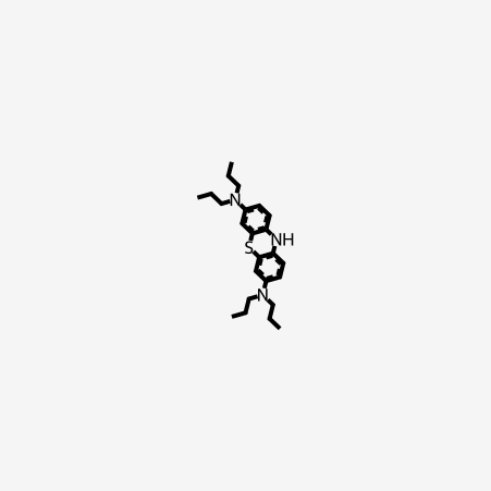 CCCN(CCC)c1ccc2c(c1)Sc1cc(N(CCC)CCC)ccc1N2